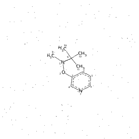 CN(Oc1cccnc1)C(C)(C)C